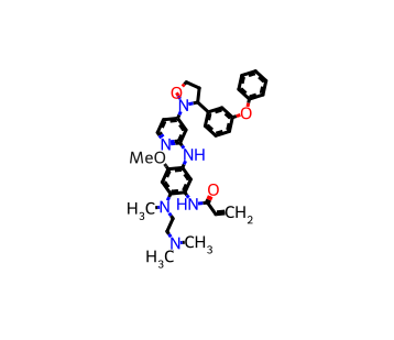 C=CC(=O)Nc1cc(Nc2cc(N3OCCC3c3cccc(Oc4ccccc4)c3)ccn2)c(OC)cc1N(C)CCN(C)C